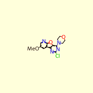 COc1cnc2oc3c(N4CCOCC4)nc(Cl)nc3c2c1